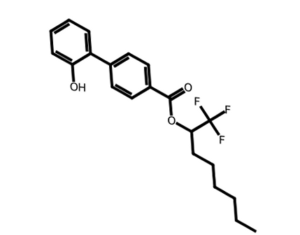 CCCCCCC(OC(=O)c1ccc(-c2ccccc2O)cc1)C(F)(F)F